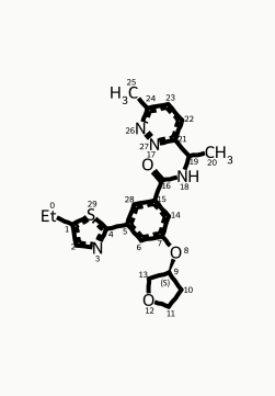 CCc1cnc(-c2cc(O[C@H]3CCOC3)cc(C(=O)NC(C)c3ccc(C)nn3)c2)s1